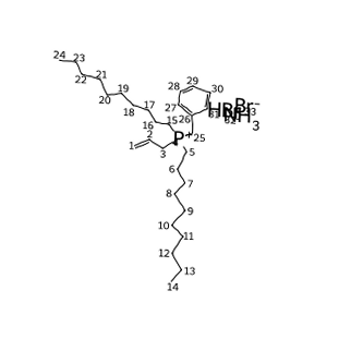 Br.C=CC[P+](CCCCCCCCCC)(CCCCCCCCCC)Cc1ccccc1.N.[Br-]